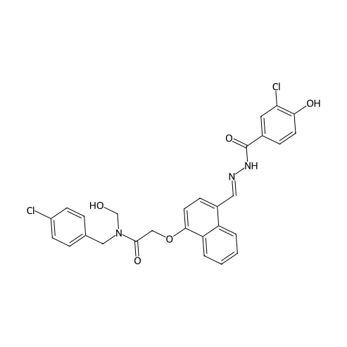 O=C(N/N=C/c1ccc(OCC(=O)N(CO)Cc2ccc(Cl)cc2)c2ccccc12)c1ccc(O)c(Cl)c1